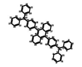 C1=CCC(N(c2ccccc2)c2ccc(-c3c4ccccc4c(-c4ccc(N(c5ccccc5)c5ccccc5)cc4)c4ccccc34)cc2)C=C1